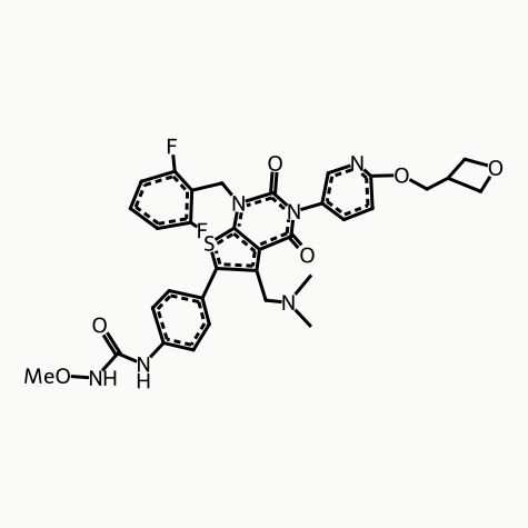 CONC(=O)Nc1ccc(-c2sc3c(c2CN(C)C)c(=O)n(-c2ccc(OCC4COC4)nc2)c(=O)n3Cc2c(F)cccc2F)cc1